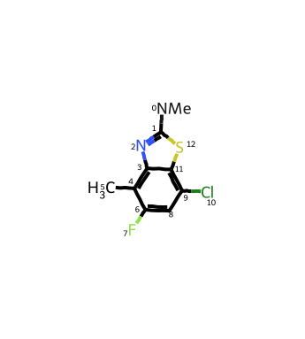 CNc1nc2c(C)c(F)cc(Cl)c2s1